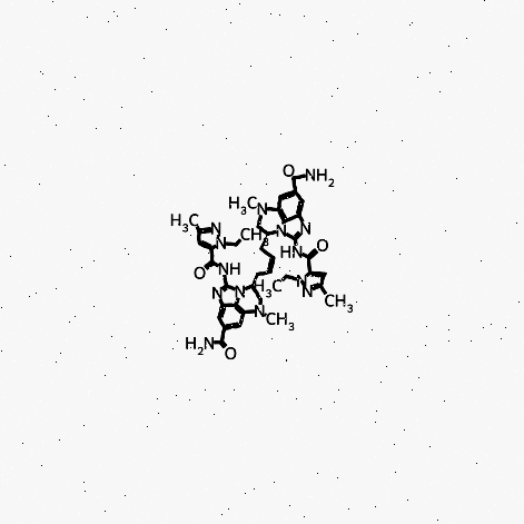 CCn1nc(C)cc1C(=O)Nc1nc2cc(C(N)=O)cc3c2n1[C@@H](C/C=C\C[C@H]1CN(C)c2cc(C(N)=O)cc4nc(NC(=O)c5cc(C)nn5CC)n1c24)CN3C